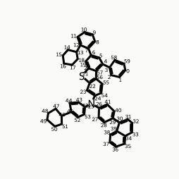 c1ccc(-c2cc(-c3ccccc3C3CCCCC3)cc3sc4cc(N(c5ccc(-c6cccc7ccccc67)cc5)c5ccc(C6CCCCC6)cc5)ccc4c23)cc1